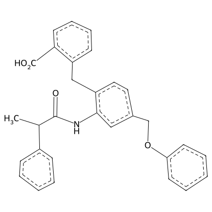 CC(C(=O)Nc1cc(COc2ccccc2)ccc1Cc1ccccc1C(=O)O)c1ccccc1